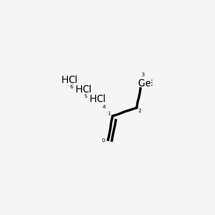 C=C[CH2][Ge].Cl.Cl.Cl